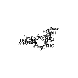 CCC1OC(=O)CC(O)C(C)C(OC2OC(C)C(OC(C)(O)C(O)C(C)OC)C(N(C)C)C2O)C(CC=O)CC(C)C(=O)/C=C/C(C)=C/C1COC1OC(C)C(O)C(OC)C1OC